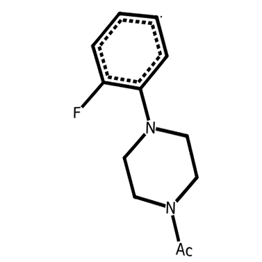 CC(=O)N1CCN(c2c[c]ccc2F)CC1